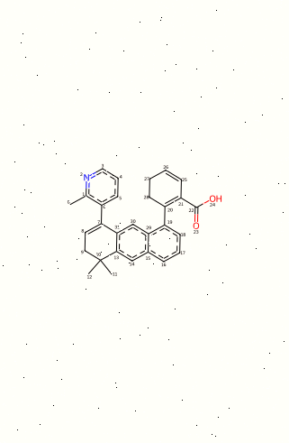 Cc1ncccc1C1=CCC(C)(C)c2cc3cccc(C4=C(C(=O)O)C=CCC4)c3cc21